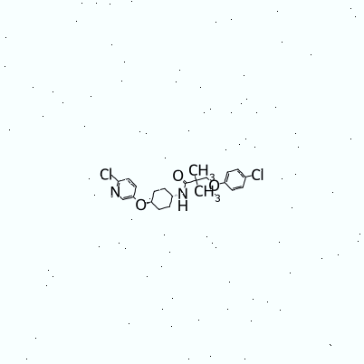 CC(C)(COc1ccc(Cl)cc1)C(=O)N[C@H]1CC[C@H](Oc2ccc(Cl)nc2)CC1